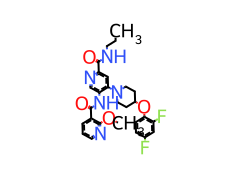 CCCNC(=O)c1cc(N2CCC(Oc3ccc(F)cc3F)CC2)c(NC(=O)c2cccnc2OC)cn1